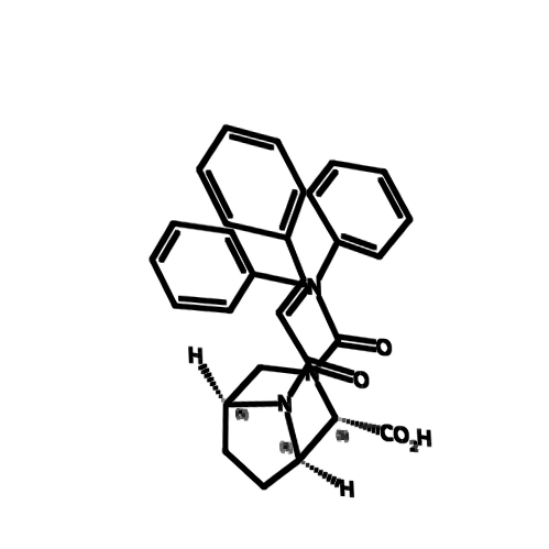 O=C(O)[C@@H]1[C@H]2CC[C@@H](CN1C(=O)N(c1ccccc1)c1ccccc1)N2C(=O)C=Cc1ccccc1